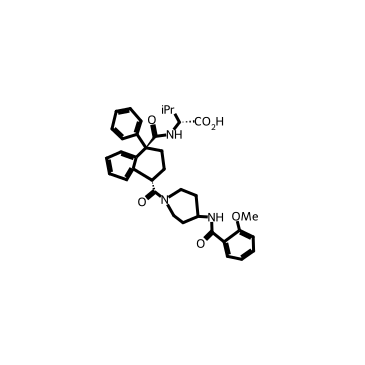 COc1ccccc1C(=O)NC1CCN(C(=O)[C@H]2CC[C@@](C(=O)N[C@@H](C(=O)O)C(C)C)(c3ccccc3)c3ccccc32)CC1